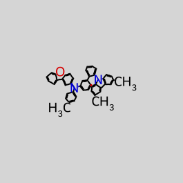 Cc1ccc(N(c2cccc(-c3ccccc3-n3c4ccc(C)cc4c4cc(C)ccc43)c2)c2ccc3oc4ccccc4c3c2)cc1